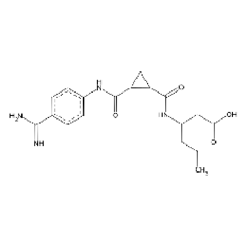 CCCC(CC(=O)O)NC(=O)C1CC1C(=O)Nc1ccc(C(=N)N)cc1